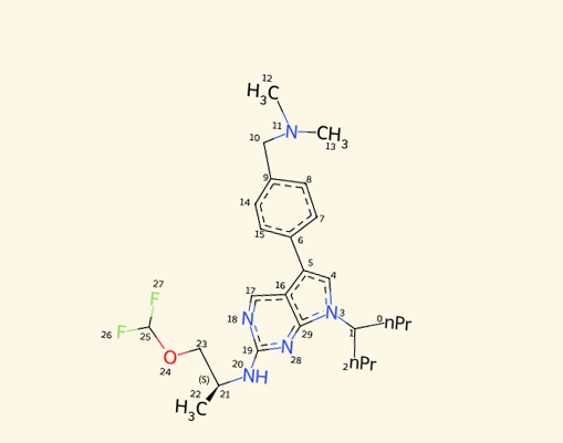 CCCC(CCC)n1cc(-c2ccc(CN(C)C)cc2)c2cnc(N[C@@H](C)COC(F)F)nc21